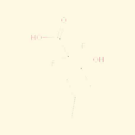 CC1CC(O)(C(F)(F)C(=O)O)C1